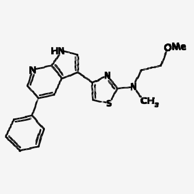 COCCN(C)c1nc(-c2c[nH]c3ncc(-c4ccccc4)cc23)cs1